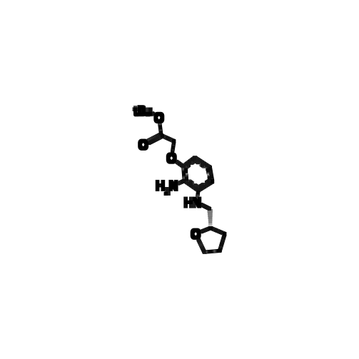 CC(C)(C)OC(=O)COc1cccc(NC[C@@H]2CCCO2)c1N